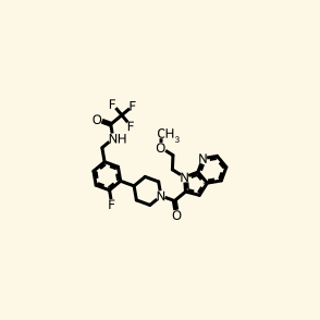 COCCn1c(C(=O)N2CCC(c3cc(CNC(=O)C(F)(F)F)ccc3F)CC2)cc2cccnc21